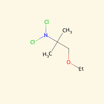 CCOCC(C)(C)N(Cl)Cl